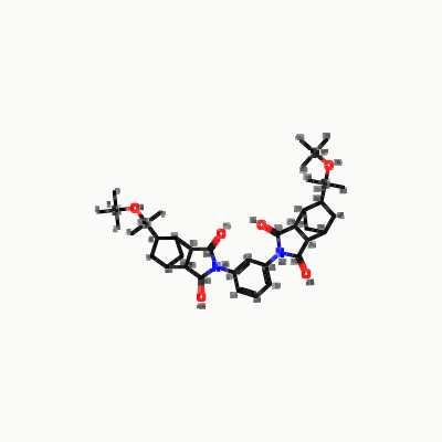 C[Si](C)(C)O[Si](C)(C)C1CC2CC1C1C(=O)N(c3cccc(N4C(=O)C5C6CC(C5C4=O)C([Si](C)(C)O[Si](C)(C)C)C6)c3)C(=O)C21